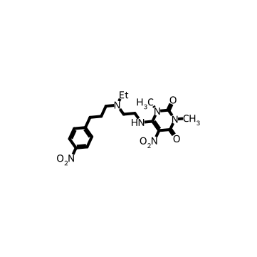 CCN(CCCc1ccc([N+](=O)[O-])cc1)CCNc1c([N+](=O)[O-])c(=O)n(C)c(=O)n1C